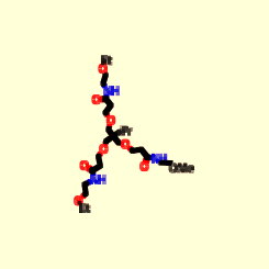 CCOCCNC(=O)CCOCC(COCCC(=O)NCCOC)(COCCC(=O)NCCOCC)C(C)C